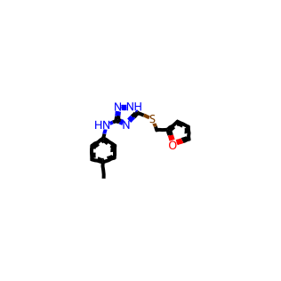 Cc1ccc(Nc2n[nH]c(SCc3ccco3)n2)cc1